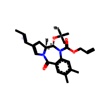 C=CCOC(=O)N1c2cc(C)c(C)cc2C(=O)N2C=C(/C=C/C)C[C@H]2[C@@H]1O[Si](C)(C)C(C)(C)C